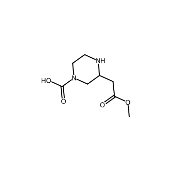 COC(=O)CC1CN(C(=O)O)CCN1